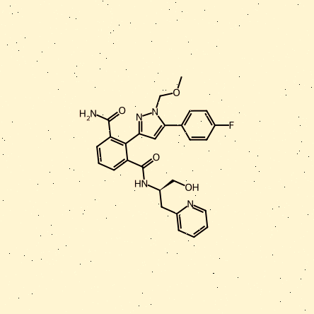 COCn1nc(-c2c(C(N)=O)cccc2C(=O)N[C@@H](CO)Cc2ccccn2)cc1-c1ccc(F)cc1